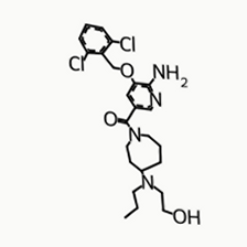 CCCN(CCO)C1CCCN(C(=O)c2cnc(N)c(OCc3c(Cl)cccc3Cl)c2)CC1